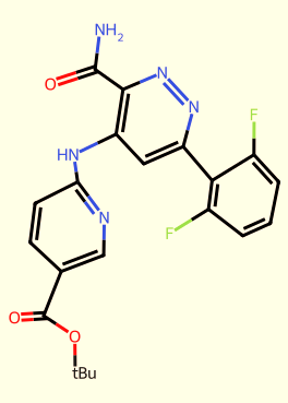 CC(C)(C)OC(=O)c1ccc(Nc2cc(-c3c(F)cccc3F)nnc2C(N)=O)nc1